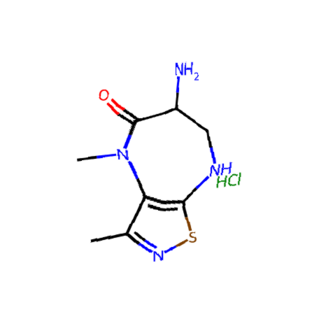 Cc1nsc2c1N(C)C(=O)C(N)CN2.Cl